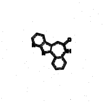 O=c1cc2c3cccnc3nc-2c2ccccc2[nH]1